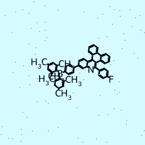 CC1=CC(C)CC(C)=C1B(c1ccc(-c2ccc3c(c2)nc(-c2ccc(F)cc2)c2c4ccccc4c4ccccc4c32)cc1)c1c(C)cc(C)cc1C